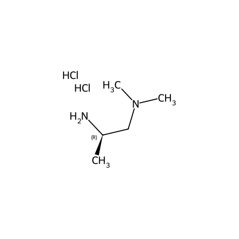 C[C@@H](N)CN(C)C.Cl.Cl